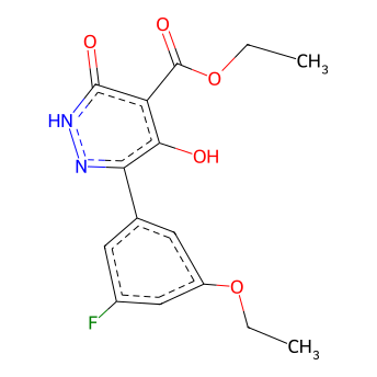 CCOC(=O)c1c(O)c(-c2cc(F)cc(OCC)c2)n[nH]c1=O